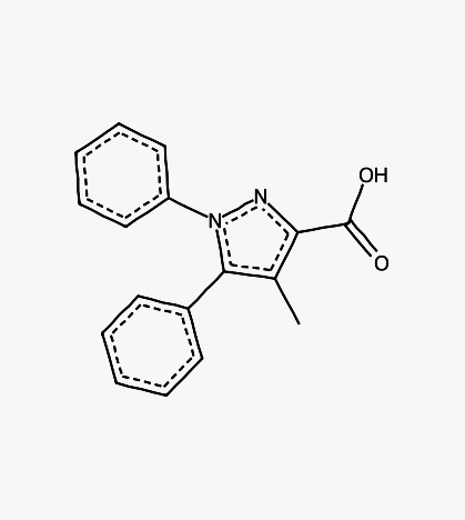 Cc1c(C(=O)O)nn(-c2ccccc2)c1-c1ccccc1